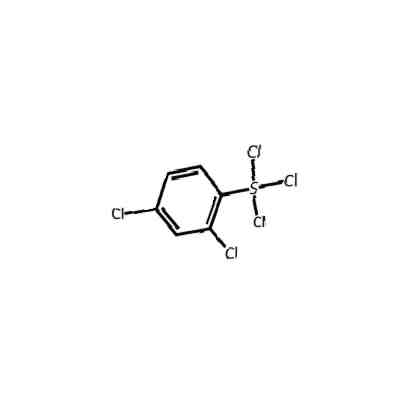 Clc1ccc(S(Cl)(Cl)Cl)c(Cl)c1